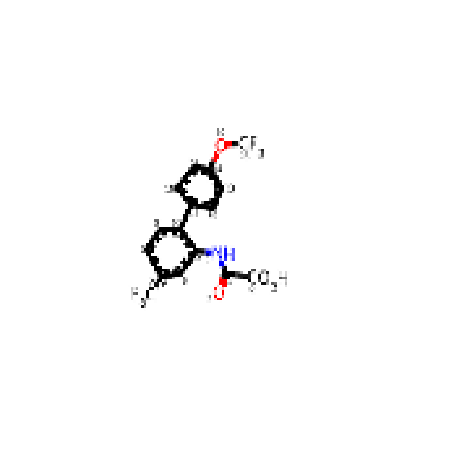 O=C(O)C(=O)Nc1cc(C(F)(F)F)ccc1-c1ccc(OC(F)(F)F)cc1